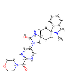 CN(C)[C@]1(c2ccccc2)CC[C@@]2(CC1)CN(c1cnc(C(=O)N3CCOCC3)nc1)C(=O)N2